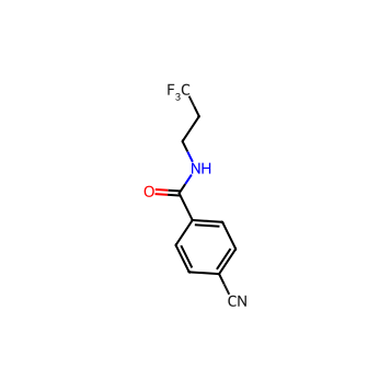 N#Cc1ccc(C(=O)NCCC(F)(F)F)cc1